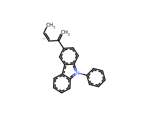 C=C(/C=C\C)c1ccc2c(c1)c1ccccc1n2-c1ccccc1